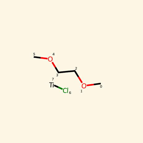 COCCOC.[Cl][Ti]